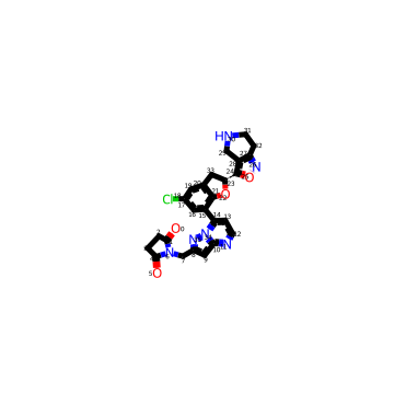 O=C1CCC(=O)N1Cc1cc2nccc(-c3cc(Cl)cc4c3O[C@@H](c3onc5c3CNCC5)C4)n2n1